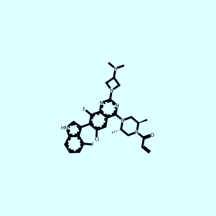 C=CC(=O)N1C[C@H](C)N(c2nc(N3CC(N(C)C)C3)nc3c(F)c(-c4c[nH]c5cccc(F)c45)c(Cl)cc23)C[C@H]1C